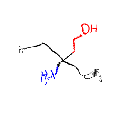 CC(C)CC(N)(O)C(F)(F)F